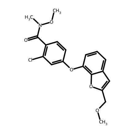 COCc1cc2cccc(Oc3ccc(C(=O)N(C)OC)c(Cl)c3)c2o1